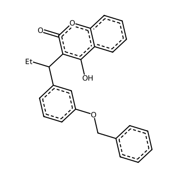 CCC(c1cccc(OCc2ccccc2)c1)c1c(O)c2ccccc2oc1=O